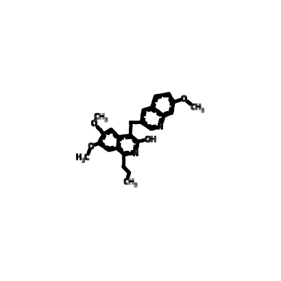 CCCc1nc(O)c(Cc2cnc3cc(OC)ccc3c2)c2cc(OC)c(OC)cc12